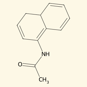 CC(=O)NC1=C2C=CC=CC2CC=C1